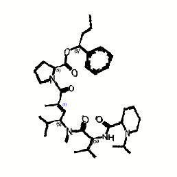 CCC[C@H](OC(=O)[C@@H]1CCCN1C(=O)/C(C)=C/[C@H](C(C)C)N(C)C(=O)[C@@H](NC(=O)C1CCCCN1C(C)C)C(C)C)c1ccccc1